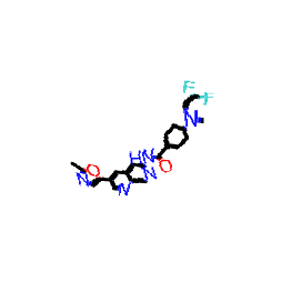 Cc1ncc(-c2cnc3cnc(NC(=O)C4CCC(N(C)CC(F)F)CC4)cc3c2)o1